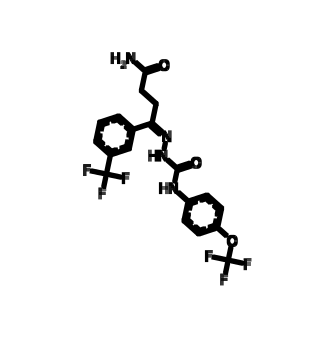 NC(=O)CCC(=NNC(=O)Nc1ccc(OC(F)(F)F)cc1)c1cccc(C(F)(F)F)c1